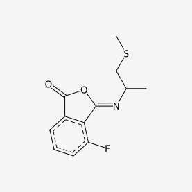 CSCC(C)/N=C1\OC(=O)c2cccc(F)c21